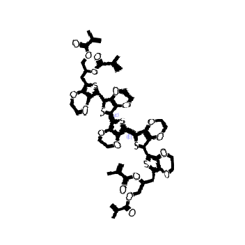 C=C(C)C(=O)OCC(Cc1sc(C2S/C(=c3/s/c(=C4/SC(c5sc(CC(COC(=O)C(=C)C)OC(=O)C(=C)C)c6c5OCCO6)C5=C4OCCO5)c4c3OCCO4)C3=C2OCCO3)c2c1OCCO2)OC(=O)C(=C)C